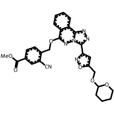 COC(=O)c1ccc(COc2nn3c(-c4cc(COC5CCCCO5)on4)nnc3c3ccccc23)c(C#N)c1